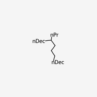 [CH2]CCC(CCCCCCCCCC)CCCCCCCCCCCCC